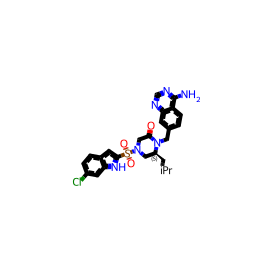 CC(C)C[C@H]1CN(S(=O)(=O)c2cc3ccc(Cl)cc3[nH]2)CC(=O)N1Cc1ccc2c(N)ncnc2c1